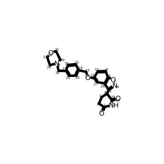 O=C1CCC(c2noc3ccc(OCc4ccc(CN5CCOCC5)cc4)cc23)C(=O)N1